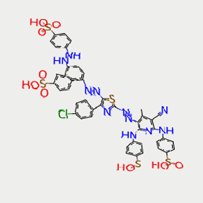 Cc1c(C#N)c(Nc2ccc(S(=O)O)cc2)nc(Nc2ccc(SO)cc2)c1/N=N/c1nc(-c2ccc(Cl)cc2)c(/N=N/c2ccc(NNc3ccc(S(=O)(=O)O)cc3)c3cc(S(=O)(=O)O)ccc23)s1